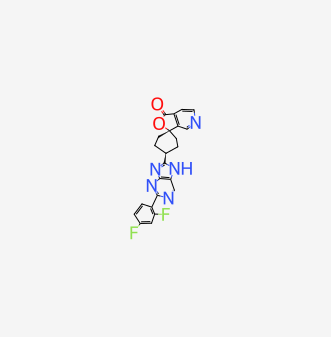 O=C1O[C@]2(CC[C@H](c3nc4nc(-c5ccc(F)cc5F)ncc4[nH]3)CC2)c2cnccc21